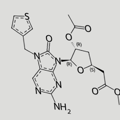 COC(=O)C[C@@H]1C[C@@H](OC(C)=O)[C@H](n2c(=O)n(Cc3ccsc3)c3cnc(N)nc32)O1